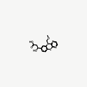 COCN1c2cc(C(O)CC(=O)O)ccc2Sc2nccnc21